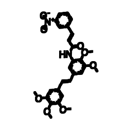 COc1cc(/C=C/c2cc(OC)c(OC)c(OC)c2)cc(NC(=O)/C=C/c2cccc([N+](=O)[O-])c2)c1OC